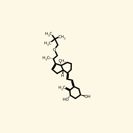 C=C1/C(=C\C=C2/CCC[C@]3(C)C([C@H](C)COCC(C)(C)C)=CC[C@@H]23)C[C@@H](O)C[C@@H]1O